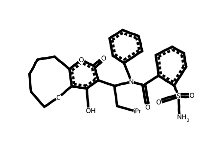 CC(C)CC(c1c(O)c2c(oc1=O)CCCCCC2)N(C(=O)c1ccccc1S(N)(=O)=O)c1ccccc1